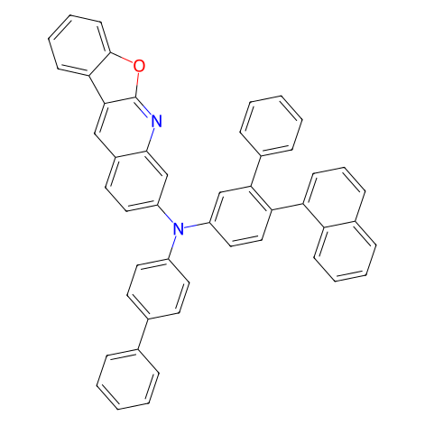 c1ccc(-c2ccc(N(c3ccc(-c4cccc5ccccc45)c(-c4ccccc4)c3)c3ccc4cc5c(nc4c3)oc3ccccc35)cc2)cc1